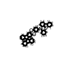 C1=CC2Oc3c(cccc3N(c3ccccc3)c3ccc4c(c3)Oc3cc5c(cc3O4)-c3ccccc3C53c4ccccc4-c4ccccc43)C2C=C1